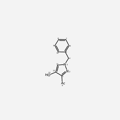 CC(=O)c1nn(Cc2ccccc2)cc1O